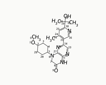 COC1CCC(N2CC(=O)Nc3ncc(-c4cnc(C(C)(C)O)cc4C)nc32)CC1